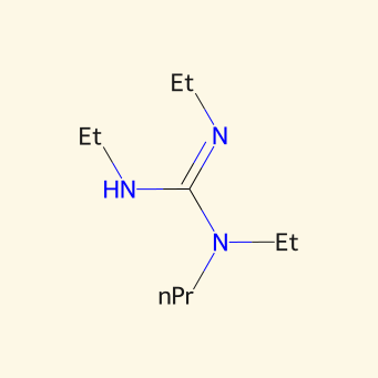 [CH2]CCN(CC)C(=NCC)NCC